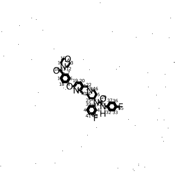 Cc1nc(Oc2ccc(C(=O)N3CCOCC3)cc2)ccc1CN1CCC(N(C(=O)Nc2ccc(F)cc2)c2cccc(F)c2)CC1